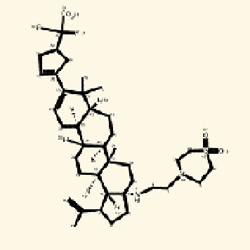 C=C(C)[C@@H]1CC[C@]2(NCCN3CCS(=O)(=O)CC3)CC[C@]3(C)[C@H](CC[C@@H]4[C@@]5(C)CC=C(C6=CCC(C(F)(F)C(=O)O)C6)C(C)(C)[C@@H]5CC[C@]43C)[C@@H]12